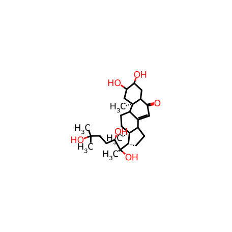 CC(C)(O)CC[C@@H](O)[C@](C)(O)[C@H]1CCC2C3=CC(=O)C4CC(O)C(O)C[C@]4(C)C3CC[C@@]21C